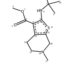 COC(=O)c1c(NC(C)(C)C)sc2c1CCN(C)C2